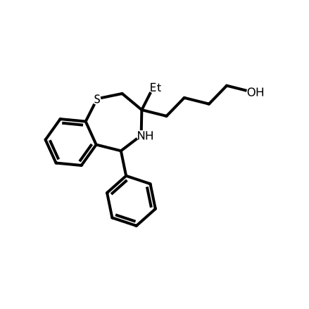 CCC1(CCCCO)CSc2ccccc2C(c2ccccc2)N1